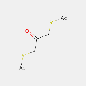 CC(=O)SCC(=O)CSC(C)=O